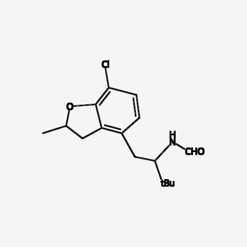 CC1Cc2c(CC(NC=O)C(C)(C)C)ccc(Cl)c2O1